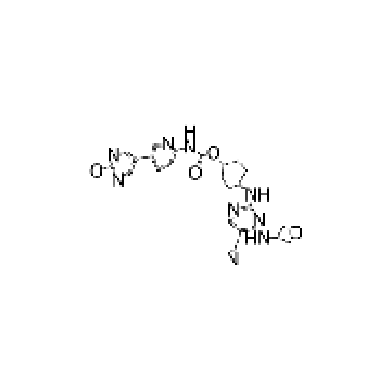 COc1ncc(-c2ccc(NC(=O)O[C@H]3CC[C@H](Nc4ncc(C#N)c(NC5COC5)n4)CC3)nc2)cn1